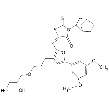 COc1cc(OC)cc(-c2cc(CCCOC[C@H](O)CO)c(/C=C3/SC(=S)N(C4CC5CCC4C5)C3=O)o2)c1